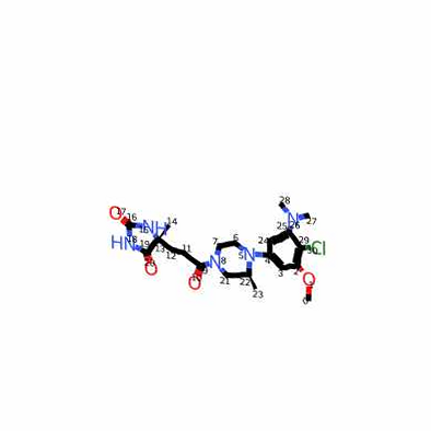 COc1cc(N2CCN(C(=O)CC[C@@]3(C)NC(=O)NC3=O)C[C@@H]2C)cc(N(C)C)c1Cl